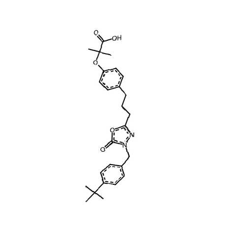 CC(C)(Oc1ccc(CCCc2nn(Cc3ccc(C(C)(C)C)cc3)c(=O)o2)cc1)C(=O)O